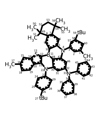 Cc1cc(N2c3cc4c(cc3B3c5sc6cc(C)ccc6c5N(c5ccc(C(C)(C)C)cc5)c5cc(N(c6ccccc6)c6ccccc6)cc2c53)C(C)(C)CCC4(C)C)cc(C(C)(C)C)c1